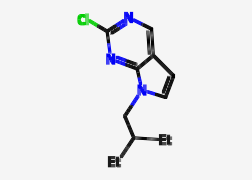 CCC(CC)Cn1ccc2cnc(Cl)nc21